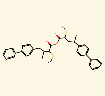 CC(=O)SC(CC(C)c1ccc(-c2ccccc2)cc1)C(=O)OC(=O)C(SC(C)=O)C(C)Cc1ccc(-c2ccccc2)cc1